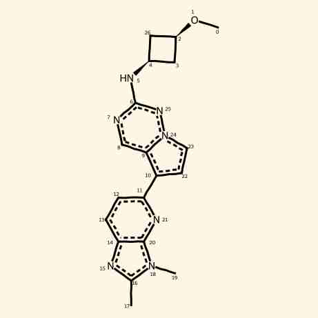 CO[C@H]1C[C@@H](Nc2ncc3c(-c4ccc5nc(C)n(C)c5n4)ccn3n2)C1